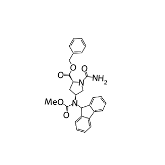 COC(=O)N(C1c2ccccc2-c2ccccc21)[C@H]1C[C@@H](C(=O)OCc2ccccc2)N(C(N)=O)C1